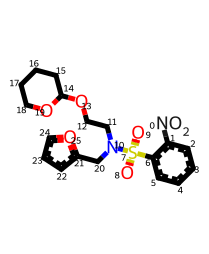 O=[N+]([O-])c1ccccc1S(=O)(=O)N(CCOC1CCCCO1)Cc1ccco1